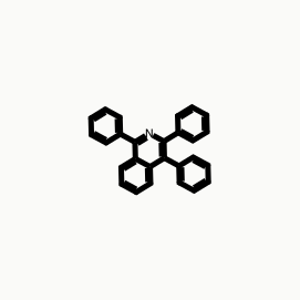 c1ccc(-c2nc(-c3ccccc3)c3ccccc3c2-c2ccccc2)cc1